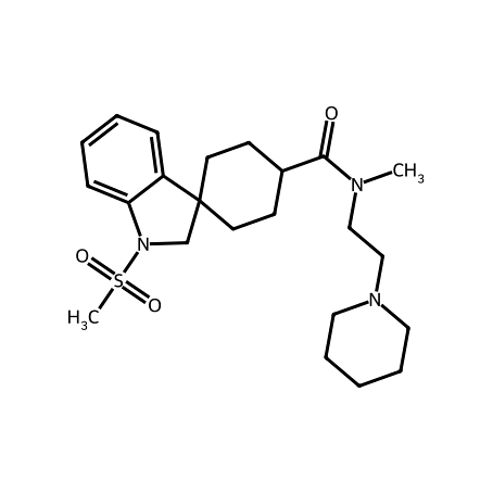 CN(CCN1CCCCC1)C(=O)C1CCC2(CC1)CN(S(C)(=O)=O)c1ccccc12